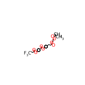 C=C(C)C(=O)OCCOC(=O)CCc1ccc(OC(=O)c2ccc(OC(=O)CCC(F)(F)F)cc2)cc1